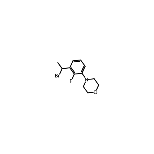 CC(Br)c1cccc(N2CCOCC2)c1F